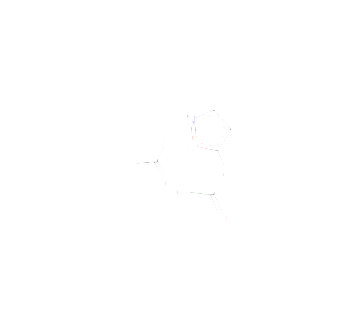 O=C(Cl)C(Cl)(Cl)Cl.O=C(Cl)Oc1ccno1